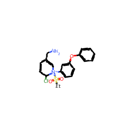 CCS(=O)(=O)[N+]1(c2cccc(Oc3ccccc3)c2)C=C(CN)C=CC1Cl